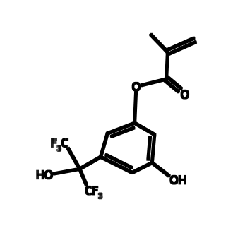 C=C(C)C(=O)Oc1cc(O)cc(C(O)(C(F)(F)F)C(F)(F)F)c1